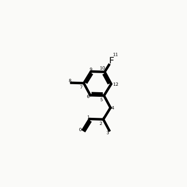 C=C[C](C)Cc1cc(C)cc(F)c1